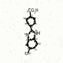 O=C(O)c1ccc(-c2nc3cc(Cl)ccc3[nH]2)cc1